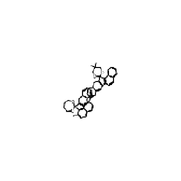 Cc1ccc2ccc(C3=CC4=CC=C(C5(c6c(C)ccc7ccccc67)OCC(C)(C)CO5)CC4C=C3)cc2c1C1(C2=CC=C3C=CC=CC3C2)OCCCCO1